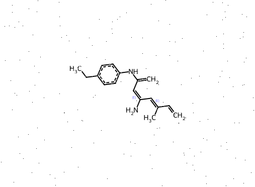 C=C/C(C)=C/C(N)=C\C(=C)Nc1ccc(CC)cc1